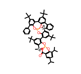 CC(C)c1cc2c(c(C(C)C)c1)OP(Oc1c(-c3cc(C(C)(C)C)cc([Si](C)(C)C)c3Op3oc4c(-c5ccccc5)cc(C(C)(C)C)cc4c4cc(C(C)(C)C)cc(-c5ccccc5)c4o3)cc(C(C)(C)C)cc1[Si](C)(C)C)OC2=O